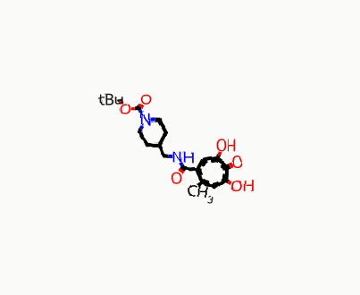 Cc1cc(O)c(=O)c(O)cc1C(=O)NCC1CCN(C(=O)OC(C)(C)C)CC1